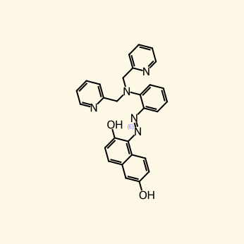 Oc1ccc2c(/N=N/c3ccccc3N(Cc3ccccn3)Cc3ccccn3)c(O)ccc2c1